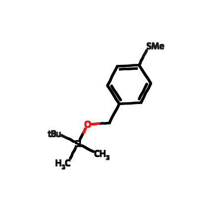 CSc1ccc(CO[Si](C)(C)C(C)(C)C)cc1